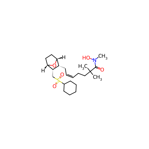 CN(O)C(=O)C(C)(C)CC/C=C\C[C@@H]1[C@H](CS(=O)(=O)C2CCCCC2)[C@@H]2CC[C@H]1O2